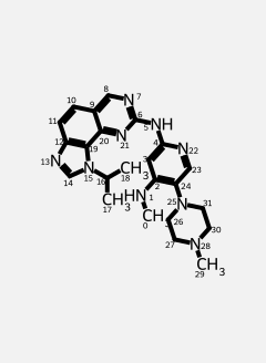 CNc1cc(Nc2ncc3ccc4ncn(C(C)C)c4c3n2)ncc1N1CCN(C)CC1